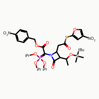 CC(C)OP(OC(C)C)(OC(C)C)=C(C(=O)OCc1ccc([N+](=O)[O-])cc1)N1C(=O)C(C(C)O[Si](C)(C)C(C)(C)C)C1CC(=O)Sc1cc([N+](=O)[O-])co1